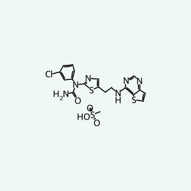 CS(=O)(=O)O.NC(=O)N(c1cccc(Cl)c1)c1ncc(CCNc2ncnc3ccsc23)s1